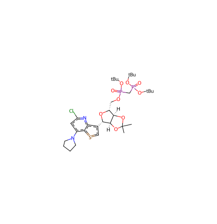 CC(C)(C)OP(=O)(CP(=O)(OC(C)(C)C)OC(C)(C)C)OC[C@H]1O[C@@H](c2csc3c(N4CCCC4)cc(Cl)nc23)[C@@H]2OC(C)(C)O[C@@H]21